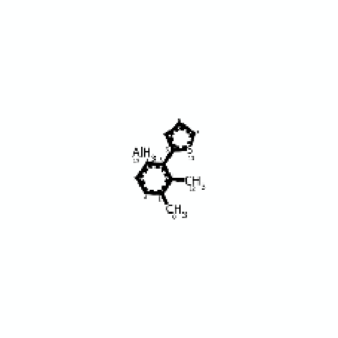 Cc1cccc(-c2cccs2)c1C.[AlH3]